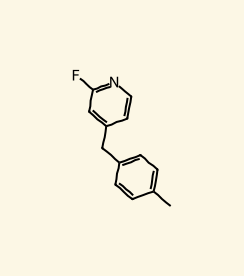 Cc1ccc(Cc2ccnc(F)c2)cc1